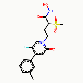 Cc1cccc(-c2cc(=O)n(CCC(C(=O)NO)S(C)(=O)=O)cc2F)c1